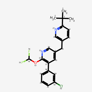 CC(C)(C)c1ccc(Cc2cnc(OC(F)F)c(-c3cccc(Cl)c3)c2)cn1